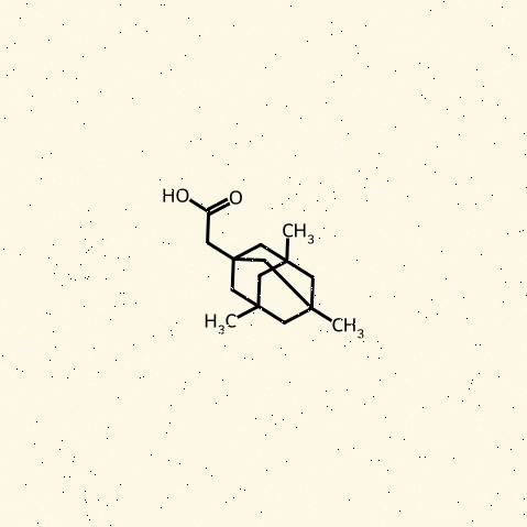 CC12CC3(C)CC(C)(C1)CC(CC(=O)O)(C2)C3